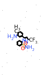 Cc1ccc(-c2cc(C(F)(F)F)nn2-c2ccccc2S(N)(=O)=O)cc1N